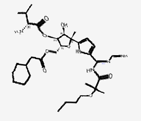 CCCCOC(C)(C)C(=O)N/C(=N/C=N)c1ccc([C@]2(C)O[C@H](COC(=O)CC3CCCCC3)[C@@H](OC(=O)[C@H](N)C(C)C)[C@H]2O)[nH]1